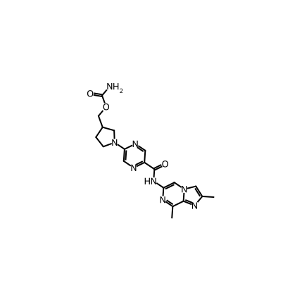 Cc1cn2cc(NC(=O)c3cnc(N4CCC(COC(N)=O)C4)cn3)nc(C)c2n1